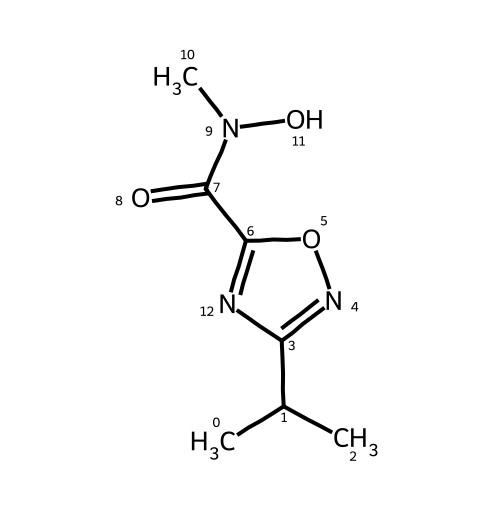 CC(C)c1noc(C(=O)N(C)O)n1